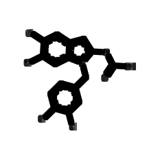 O=C(O)Oc1cc2cc(Cl)c(Cl)cc2n1Cc1ccc(Cl)c(Cl)c1